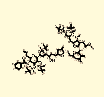 C=CCC1O[C@@H](C(/C=C/C(O)CCC2CC(=C)[C@H](CCC3CC(C)C(=C)C(C[C@@H]4OC(CC(CO[Si](C)(C)C(C)(C)C)O[Si](C)(C)C(C)(C)C)[C@H](OC)C4CC(=O)OC)O3)O2)O[Si](C)(C)C(C)(C)C)C(O[Si](C)(C)C(C)(C)C)C(O[Si](C)(C)C(C)(C)C)C1OC(=O)c1ccccc1